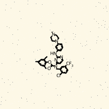 Cc1cc(C)c(OC(=O)N(Cc2cc(C(F)(F)F)ccc2Cl)c2ccnc(Nc3cccc(N4CCN(C)CC4)c3)n2)c(C)c1